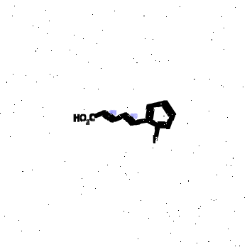 O=C(O)/C=C/C=C/c1ccccc1F